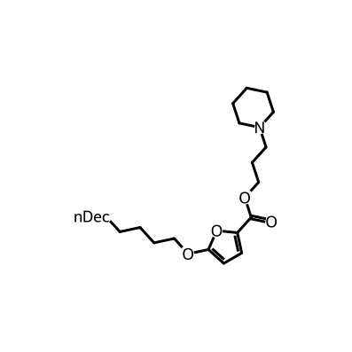 CCCCCCCCCCCCCCOc1ccc(C(=O)OCCCN2CCCCC2)o1